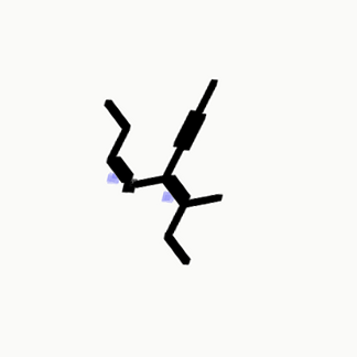 CC#CC(/N=C\CC)=C(\C)CC